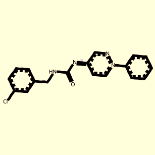 O=C(/N=c1\ccn(-c2ccccc2)nc1)NCc1cccc(Cl)c1